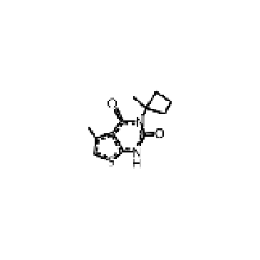 Cc1csc2[nH]c(=O)n(C3(C)CCC3)c(=O)c12